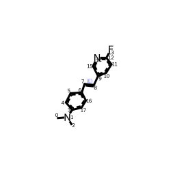 CN(C)c1ccc(/C=C/c2ccc(F)nc2)cc1